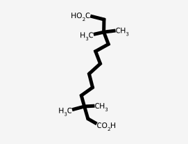 CC(C)(CCCCCCC(C)(C)CC(=O)O)CC(=O)O